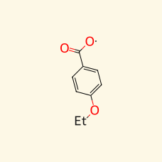 CCOc1ccc(C([O])=O)cc1